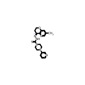 Cc1cnc2c(c1)OCC/C2=N/NC(=S)N1CCN(c2cccnc2)CC1